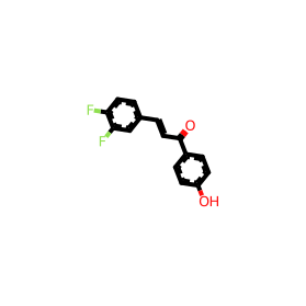 O=C(C=Cc1ccc(F)c(F)c1)c1ccc(O)cc1